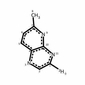 [2H]c1cnc2ccc(C)nc2n1